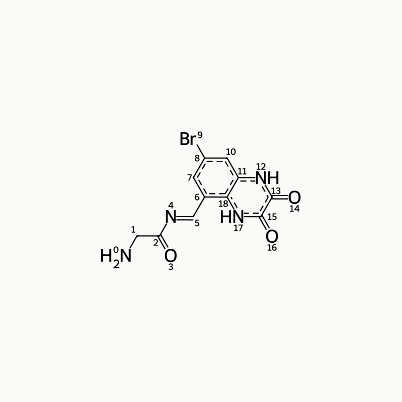 NCC(=O)N=Cc1cc(Br)cc2[nH]c(=O)c(=O)[nH]c12